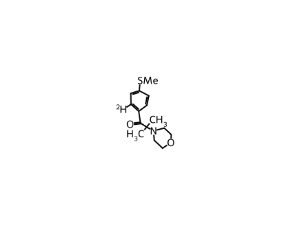 [2H]c1cc(SC)ccc1C(=O)C(C)(C)N1CCOCC1